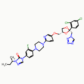 CC[C@@H](C)n1ncn(-c2ccc(N3CCN(c4ccc(OC[C@@H]5CO[C@@](Cn6cnnn6)(c6ccc(Cl)cc6Cl)O5)cn4)CC3)c(F)c2)c1=O